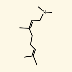 CC(C)=CCC/C(C)=C\CN(C)C